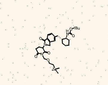 CC(C)(C)OC(=O)N[C@H]1CCCC[C@@H]1Cc1ccc2c(c1)CN(C1CCC(=O)N(COCC[Si](C)(C)C)C1=O)C2=O